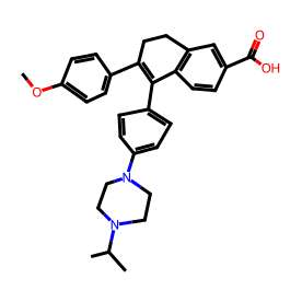 COc1ccc(C2=C(c3ccc(N4CCN(C(C)C)CC4)cc3)c3ccc(C(=O)O)cc3CC2)cc1